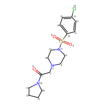 O=C(CN1CCN(S(=O)(=O)c2ccc(Cl)cc2)CC1)N1CCCC1